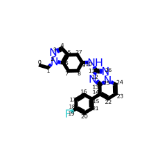 CCn1ncc2c1CCC(Nc1nc3c(-c4ccc(F)cc4)cccn3n1)C2